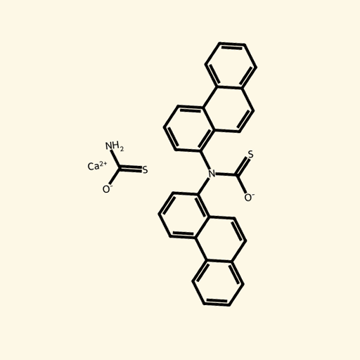 NC([O-])=S.[Ca+2].[O-]C(=S)N(c1cccc2c1ccc1ccccc12)c1cccc2c1ccc1ccccc12